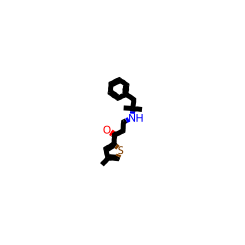 Cc1csc(C(=O)CCNC(C)(C)Cc2ccccc2)c1